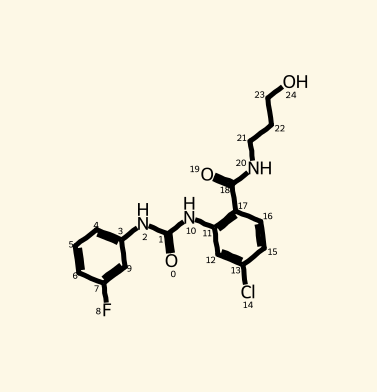 O=C(Nc1cccc(F)c1)Nc1cc(Cl)ccc1C(=O)NCCCO